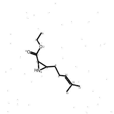 CCOC(=O)C1NC1CCC=C(C)C